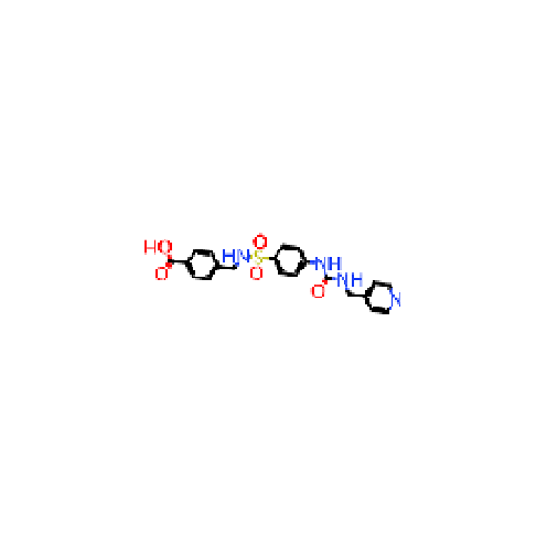 O=C(NCc1ccncc1)Nc1ccc(S(=O)(=O)NCc2ccc(C(=O)O)cc2)cc1